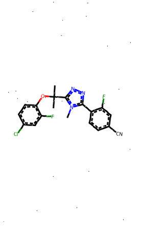 Cn1c(-c2ccc(C#N)cc2F)nnc1C(C)(C)Oc1ccc(Cl)cc1F